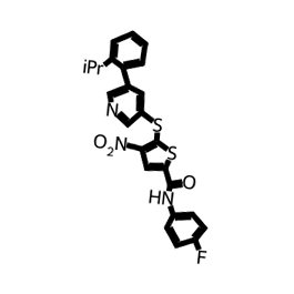 CC(C)c1ccccc1-c1cncc(Sc2sc(C(=O)Nc3ccc(F)cc3)cc2[N+](=O)[O-])c1